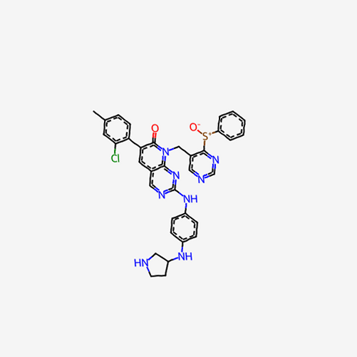 Cc1ccc(-c2cc3cnc(Nc4ccc(NC5CCNC5)cc4)nc3n(Cc3cncnc3[S+]([O-])c3ccccc3)c2=O)c(Cl)c1